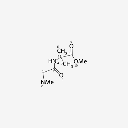 CNCC(=O)NC(C)(C)C(=O)OC